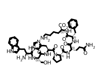 NCCCC[C@H](NC(=O)[C@H](Cc1ccccc1)NC(=O)[C@H](CCC(N)=O)NC(=O)[C@@H]1CCCN1C(=O)[C@H](Cc1c[nH]cn1)NC(=O)[C@H](CO)NC(=O)[C@@H](N)Cc1c[nH]c2ccccc12)C(=O)O